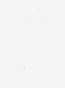 Cc1c(C(C)(C)F)c(-c2ccc(S(N)(=O)=O)cc2)c2n1CCC2